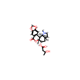 CC(O)CC(=O)O[C@H]1C[C@H]2CCN(C)[C@H]2[C@@H]2c3cc4c(cc3C(=O)O[C@H]21)OCO4